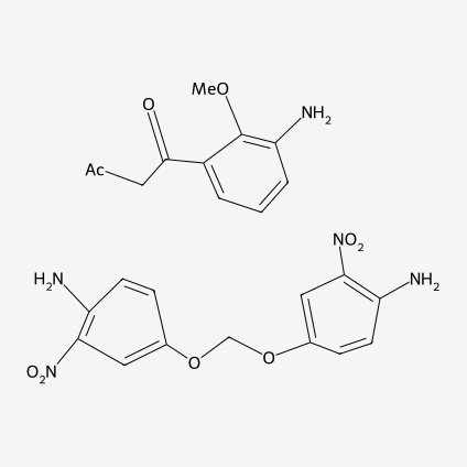 COc1c(N)cccc1C(=O)CC(C)=O.Nc1ccc(OCOc2ccc(N)c([N+](=O)[O-])c2)cc1[N+](=O)[O-]